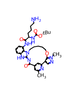 Cc1cc2cc(n1)-c1cnn(C)c1OCCCCCN1/C(=N/C2=O)Nc2cccc(NC(=O)C(CCCCN)NC(=O)OC(C)(C)C)c21